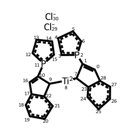 C1=C(p2cccc2)[CH]([Ti+2][CH]2C(p3cccc3)=Cc3ccccc32)c2ccccc21.[Cl-].[Cl-]